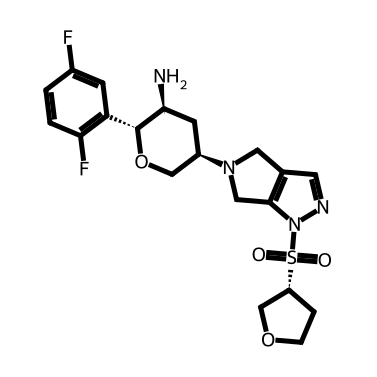 N[C@H]1C[C@@H](N2Cc3cnn(S(=O)(=O)[C@@H]4CCOC4)c3C2)CO[C@@H]1c1cc(F)ccc1F